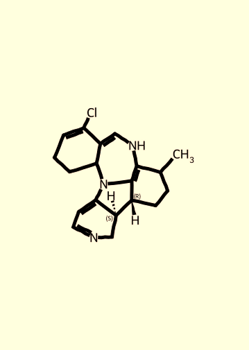 CC1CC[C@H]2C3=C1NC=C1C(Cl)=CCCC1N3C1=CC=NC[C@@H]12